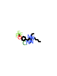 CCCCCn1c(CC)nc2c(-c3ccc(OC(F)(F)F)cc3Cl)ncnc21